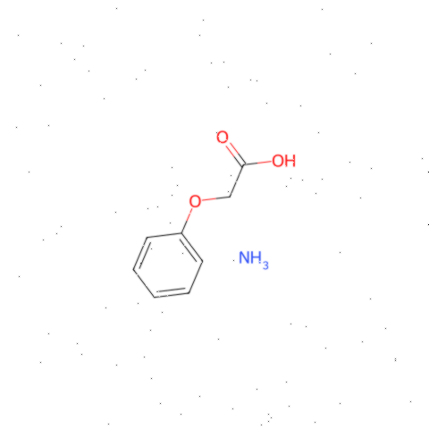 N.O=C(O)COc1ccccc1